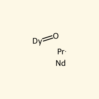 [Nd].[O]=[Dy].[Pr]